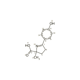 CC1(C(=O)O)CCC(c2ccc(O)cc2)=N1